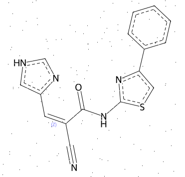 N#C/C(=C/c1c[nH]cn1)C(=O)Nc1nc(-c2ccccc2)cs1